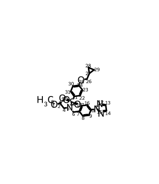 COC(=O)CN(Cc1ccc(-n2nccn2)cc1)S(=O)(=O)c1ccc(OCC2CC2)cc1